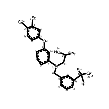 CCc1cc(Oc2cccc(N(Cc3cccc(C(F)(F)C(F)(F)F)c3)CC(O)C(C)C)c2)ccc1Cl